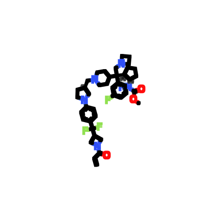 C=CC(=O)N1CC(C(F)(F)c2ccc(N3CC[C@@H](CN4CCC(C(CN5CCC5)(c5cccc(F)c5)[C@H]5CCC[C@@H]5NC(=O)OC)CC4)C3)cc2)C1